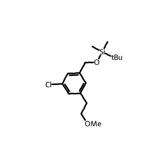 COCCc1cc(Cl)cc(CO[Si](C)(C)C(C)(C)C)c1